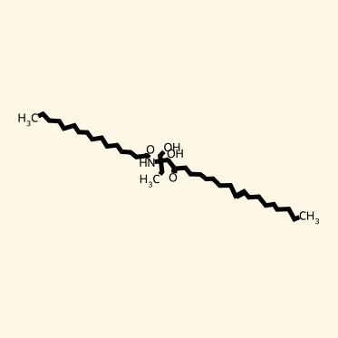 CCCCCCCCC=CCCCCCCCC(=O)C(O)C(CC)(CO)NC(=O)CCCCCCCCCCCCCCC